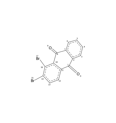 O=C1c2ccccc2C(=O)c2c1ccc(Br)c2Br